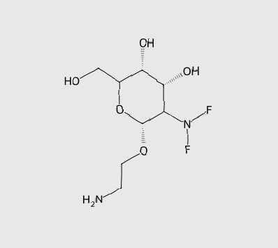 NCCO[C@@H]1OC(CO)[C@H](O)[C@H](O)C1N(F)F